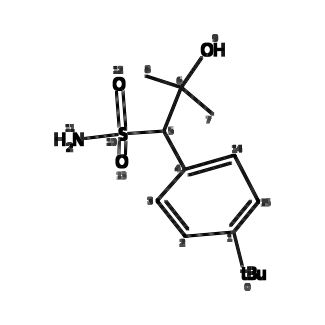 CC(C)(C)c1ccc(C(C(C)(C)O)S(N)(=O)=O)cc1